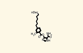 CCCCCCCCCCCCCCCCc1ccc(C(=O)Oc2nc[nH]c2C(N)=O)c(C)c1